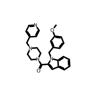 COc1cccc(Cn2c(C(=O)N3CCN(Cc4ccncc4)CC3)cc3ccccc32)c1